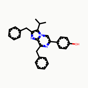 CC(C)c1c(Cc2ccccc2)nc2c(Cc3ccccc3)nc(-c3ccc(O)cc3)cn12